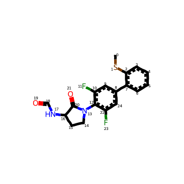 CSc1ccccc1-c1cc(F)c(N2CCC(NC=O)C2=O)c(F)c1